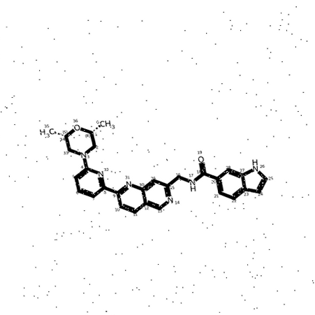 C[C@@H]1CN(c2cccc(-c3ccc4cnc(CNC(=O)c5ccc6cc[nH]c6c5)cc4n3)n2)C[C@H](C)O1